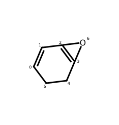 C1=CC2=C(CC1)O2